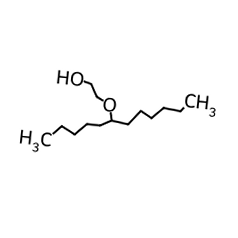 CCCCCCC(CCCCC)OCCO